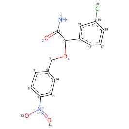 [NH]C(=O)C(OCc1ccc([N+](=O)[O-])cc1)c1cccc(Cl)c1